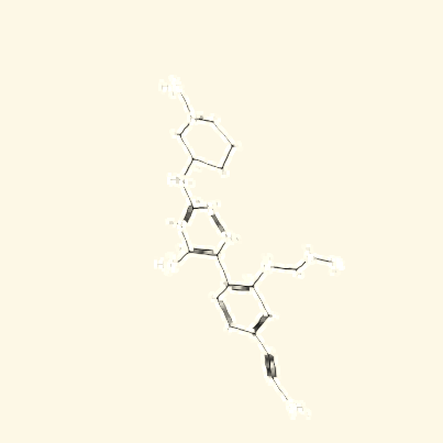 CC#Cc1ccc(-c2nnc(NC3CCCN(C)C3)nc2C)c(OCOCC)c1